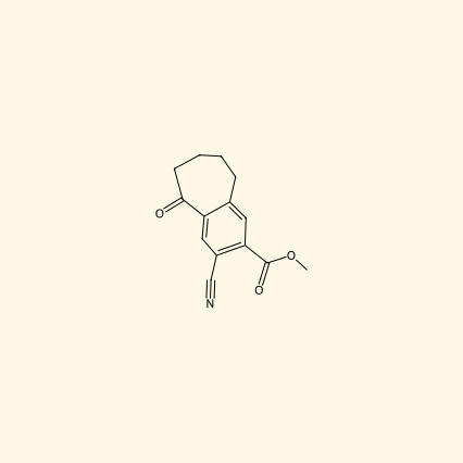 COC(=O)c1cc2c(cc1C#N)C(=O)CCCC2